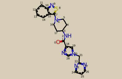 O=C(NC1CCN(c2snc3ccccc23)CC1)c1cn(Cc2ncccn2)cn1